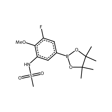 COc1c(F)cc(B2OC(C)(C)C(C)(C)O2)cc1NS(C)(=O)=O